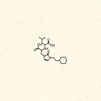 CC(C)CC(NC(Cn1ccn(CCC2CCCCC2)c1=O)C(=O)O)C(=O)O